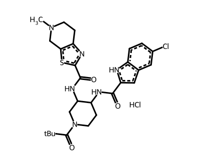 CN1CCc2nc(C(=O)NC3CN(C(=O)C(C)(C)C)CCC3NC(=O)c3cc4cc(Cl)ccc4[nH]3)sc2C1.Cl